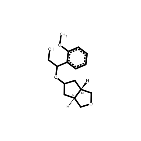 COc1ccccc1C(CO)OC1C[C@@H]2COC[C@H]2C1